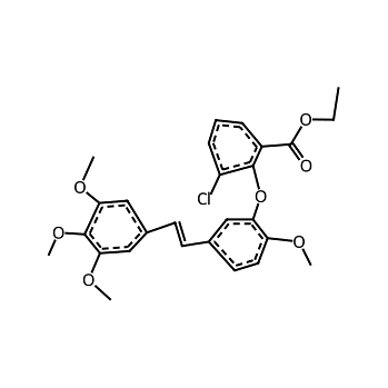 CCOC(=O)c1cccc(Cl)c1Oc1cc(C=Cc2cc(OC)c(OC)c(OC)c2)ccc1OC